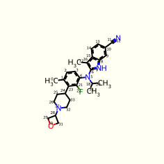 Cc1ccc(N(c2[nH]c3cc(C#N)ccc3c2C)C(C)C)c(F)c1C1CCN(C2COC2)CC1